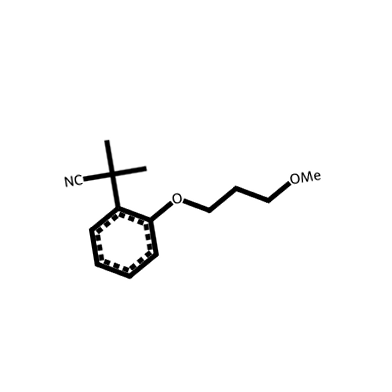 COCCCOc1ccccc1C(C)(C)C#N